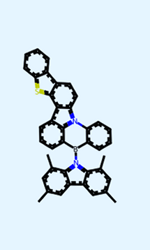 Cc1cc(C)c2c(c1)c1cc(C)cc(C)c1n2B1c2ccccc2-n2c3ccc4c5ccccc5sc4c3c3cccc1c32